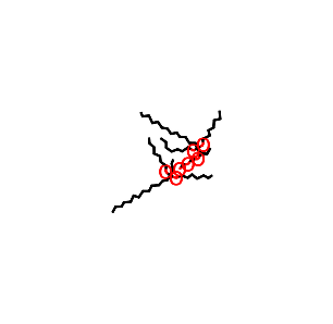 CCCCCCCCCCCCCC(OCCCCCCC)(OCCCCCCC)C(CC)OCOCOC(CC)C(CCCCCCCCCCCCC)(OCCCCCCC)OCCCCCCC